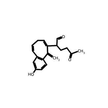 C=C1/C(C(C=O)CCC(C)=O)=C\C/C=C\c2cc(O)ccc21